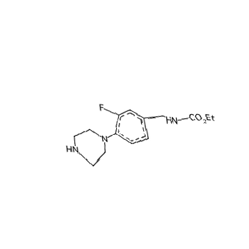 CCOC(=O)NCc1ccc(N2CCNCC2)c(F)c1